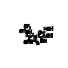 O=C(NCc1cn([C@@H]2O[C@H](CO)[C@H](O)C2O)c(=S)[nH]c1=O)C(F)(F)F